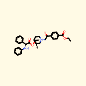 CCOC(=O)c1ccc(C(=O)C[N+]23CCC(CC2)[C@@H](OC(=O)[C@H](Nc2ccccc2)c2ccccc2)C3)cc1